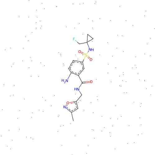 Cc1cc(CNC(=O)c2cc(S(=O)(=O)NC3(CF)CC3)ccc2N)on1